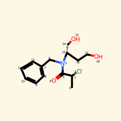 CC(Cl)C(=O)N(Cc1ccccc1)[C@H](CO)CCO